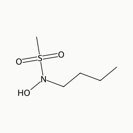 CCCCN(O)S(C)(=O)=O